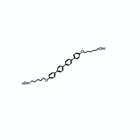 CCCCCCCCCCCCCCCOc1ccc(-c2ccc(-c3ccc(-c4ccc(OCCCCCCCCCCCCCCC)cc4)cc3)cc2)cc1